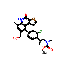 Cc1cc(CO)c(-c2ccc(C(C)CN(C)C(=O)OC(C)(C)C)c(F)c2)c2c1[nH]c(=O)c1sccc12